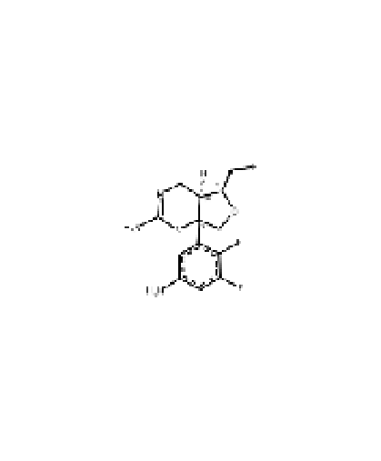 NC1=NC[C@H]2[C@@H](CF)OC[C@]2(c2cc(N)cc(F)c2F)S1